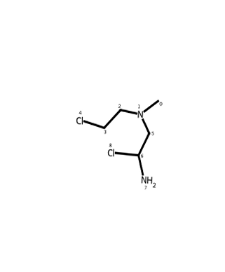 CN(CCCl)CC(N)Cl